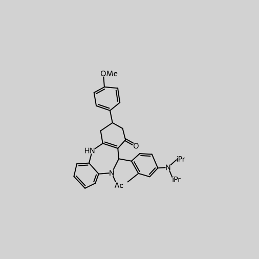 COc1ccc(C2CC(=O)C3=C(C2)Nc2ccccc2N(C(C)=O)C3c2ccc(N(C(C)C)C(C)C)cc2C)cc1